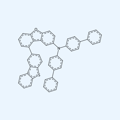 c1ccc(-c2ccc(N(c3ccc(-c4ccccc4)cc3)c3ccc4oc5cccc(-c6ccc7sc8ccccc8c7c6)c5c4c3)cc2)cc1